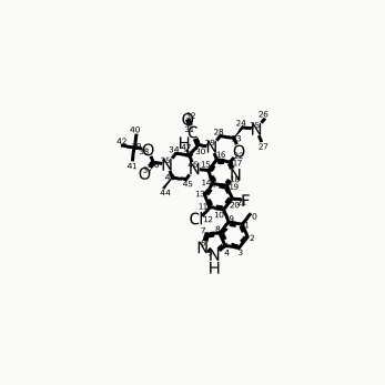 Cc1ccc2[nH]ncc2c1-c1c(Cl)cc2c3c4c(nc2c1F)O[C@H](CN(C)C)CN4C(=C=O)[C@H]1CN(C(=O)OC(C)(C)C)[C@H](C)CN31